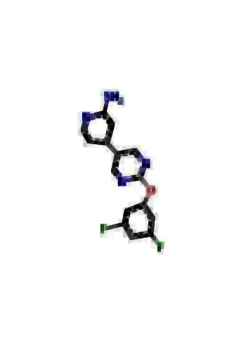 Nc1cc(-c2cnc(Oc3cc(F)cc(F)c3)nc2)ccn1